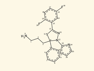 NCCCC1(c2ccccc2)SC(c2cc(F)ccc2F)=NN1c1nccs1